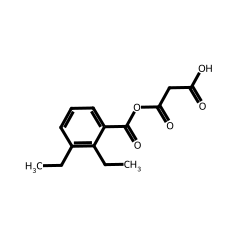 CCc1cccc(C(=O)OC(=O)CC(=O)O)c1CC